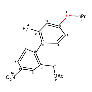 CCCOc1ccc(-c2ccc([N+](=O)[O-])cc2COC(C)=O)c(C(F)(F)F)c1